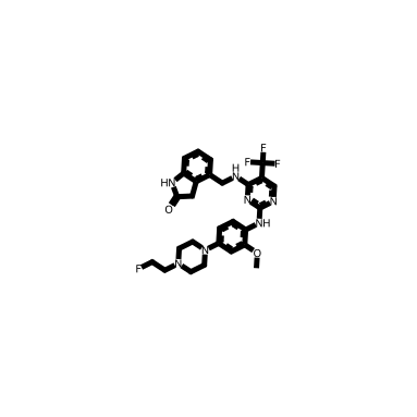 COc1cc(N2CCN(CCF)CC2)ccc1Nc1ncc(C(F)(F)F)c(NCc2cccc3c2CC(=O)N3)n1